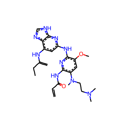 C=CC(=O)Nc1nc(Nc2cc(NC(=C)CC)c3nc[nH]c3n2)c(OC)cc1N(C)CCN(C)C